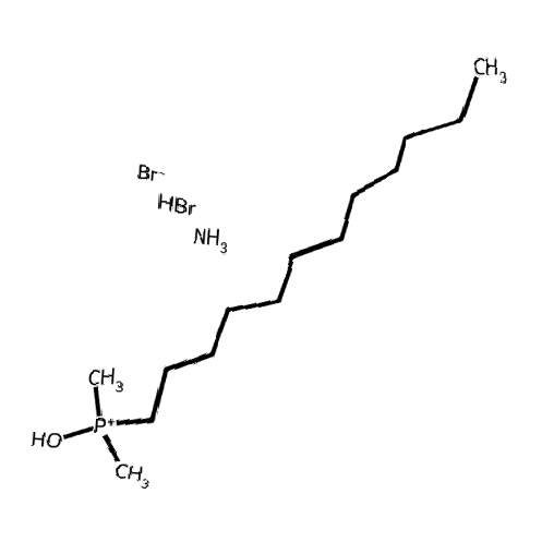 Br.CCCCCCCCCCCC[P+](C)(C)O.N.[Br-]